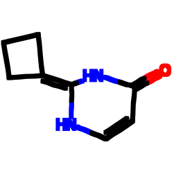 O=C1C=CNC(=C2CCC2)N1